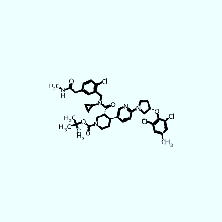 CNC(=O)Cc1ccc(Cl)c(CN(C(=O)[C@H]2CN(C(=O)OC(C)(C)C)CC[C@@H]2c2ccc(N3CC[C@H](Oc4c(Cl)cc(C)cc4Cl)C3)nc2)C2CC2)c1